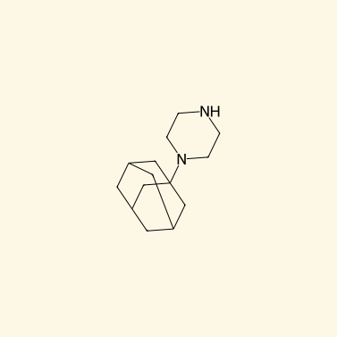 C1CN(C23CC4CC(CC(C4)C2)C3)CCN1